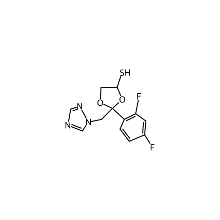 Fc1ccc(C2(Cn3cncn3)OCC(S)O2)c(F)c1